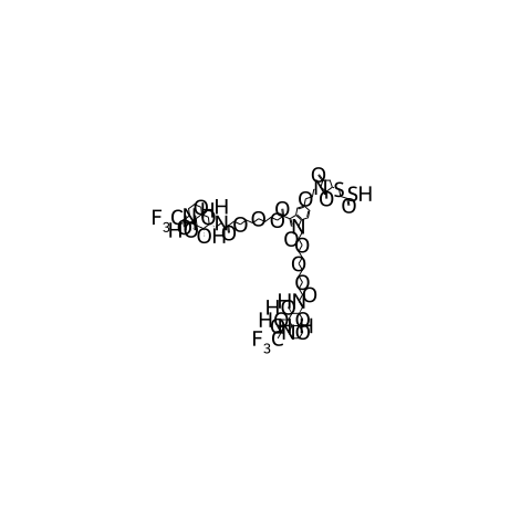 O=C(S)CSC1CC(=O)N(CCOc2ccc3c(c2)c(C(=O)OCCOCCOCC(=O)NC[C@H]2O[C@H]4OCCN(C(=O)C(F)(F)F)[C@H]4[C@@H](O)[C@H]2O)cn3CC(=O)OCCOCCOCC(=O)NC[C@H]2O[C@H]3OCCN(C(=O)C(F)(F)F)[C@H]3[C@@H](O)[C@H]2O)C1=O